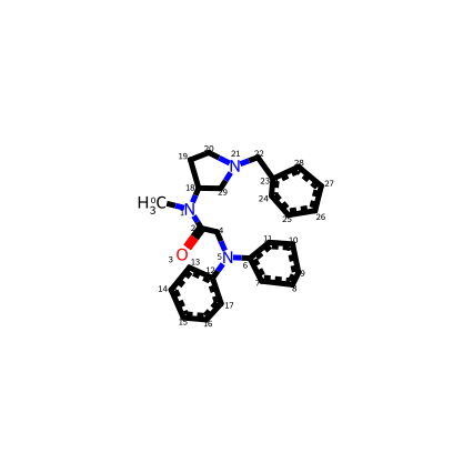 CN(C(=O)CN(c1ccccc1)c1ccccc1)C1CCN(Cc2ccccc2)C1